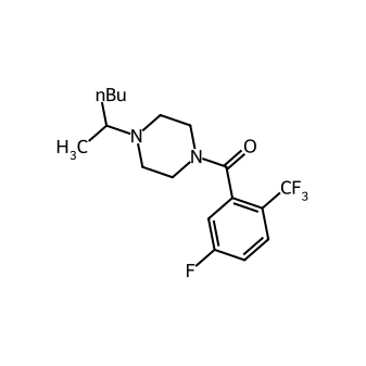 [CH2]CCCC(C)N1CCN(C(=O)c2cc(F)ccc2C(F)(F)F)CC1